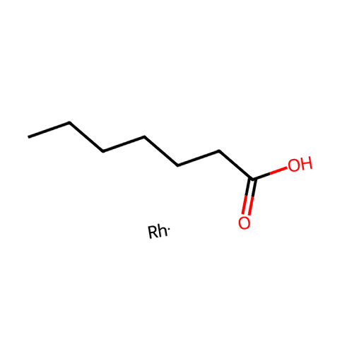 CCCCCCC(=O)O.[Rh]